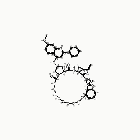 C=C[C@@H]1C[C@@]12NC(=O)[C@@H]1C[C@@H](Oc3cc(-c4ccccc4)nc4cc(OC)ccc34)CN1C(=O)CCCCCCCCNc1ccccc1S(=O)(=O)NC2=O